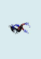 C[C@H](CCCN(C)Cc1ccccc1)C1CC[C@H]2C3[C@H](OCCN)CC4C[C@H](OCCN)CCC4(C)[C@H]3C[C@H](OCCN)C12C